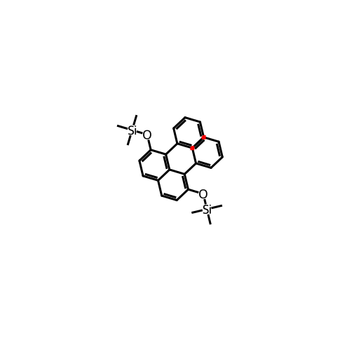 C[Si](C)(C)Oc1ccc2ccc(O[Si](C)(C)C)c(-c3ccccc3)c2c1-c1ccccc1